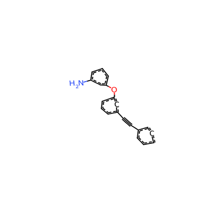 Nc1cccc(Oc2cccc(C#Cc3ccccc3)c2)c1